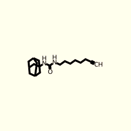 C#CCCCCCCNC(=O)NC12CC3CC(CC(C3)C1)C2